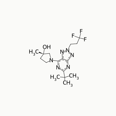 CC(C)(C)c1nc(N2CC[C@](C)(O)C2)c2nn(CCC(F)(F)F)nc2n1